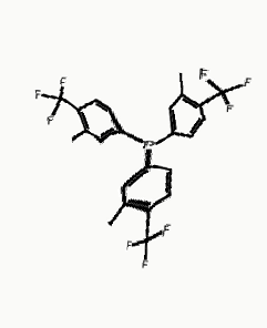 Cc1cc(P(c2ccc(C(F)(F)F)c(C)c2)c2ccc(C(F)(F)F)c(C)c2)ccc1C(F)(F)F